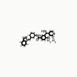 Cc1cc(C(=N)c2cc(C(=O)NC3CCCC(Cn4ncc5ccccc54)C3)ccc2N)ccn1